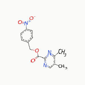 Cc1cnc(C(=O)OCc2ccc([N+](=O)[O-])cc2)nc1C